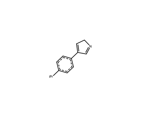 CC(C)c1ccc(C2=CCN=C2)cc1